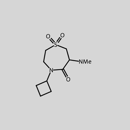 CNC1CS(=O)(=O)CCN(C2CCC2)C1=O